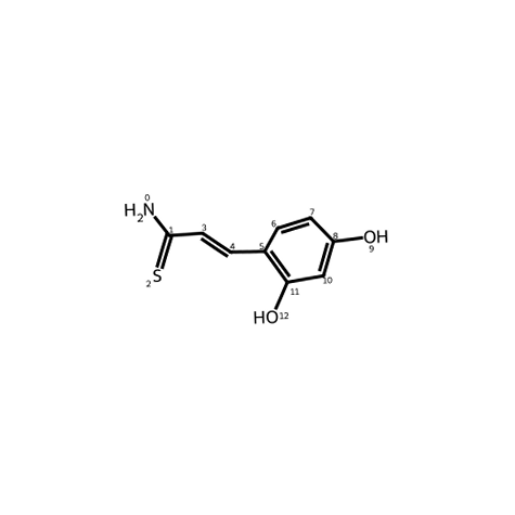 NC(=S)C=Cc1ccc(O)cc1O